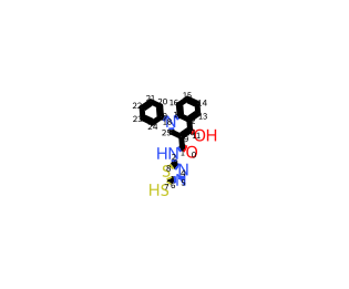 O=C(Nc1nnc(S)s1)C1=C(O)c2ccccc2N(c2ccccc2)C1